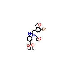 COC(=O)c1ccc2nc(Cc3ccc(Br)c4c3CCO4)n(C[C@@H]3CCO3)c2c1